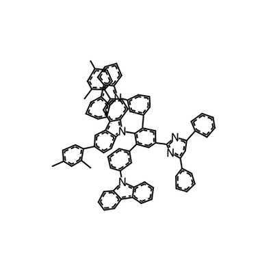 Cc1ccc(-c2ccc3c(c2)c2cc(-c4ccc(C)cc4C)ccc2n3-c2c(-c3cccc(-n4c5ccccc5c5ccccc54)c3)cc(-c3nc(-c4ccccc4)cc(-c4ccccc4)n3)cc2-c2cccc(-n3c4ccccc4c4ccccc43)c2)c(C)c1